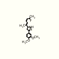 C=C(F)/C=C\C=C(/C)C1CC(c2ccc(OC)c(OC)c2)=NN1